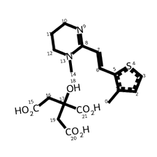 Cc1ccsc1C=CC1=NCCCN1C.O=C(O)CC(O)(CC(=O)O)C(=O)O